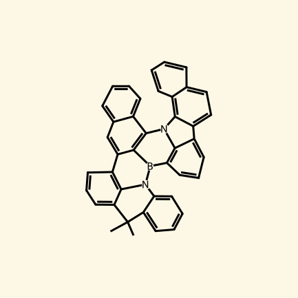 CC1(C)c2ccccc2N2B3c4c(cc5ccccc5c4-n4c5c3cccc5c3ccc5ccccc5c34)-c3cccc1c32